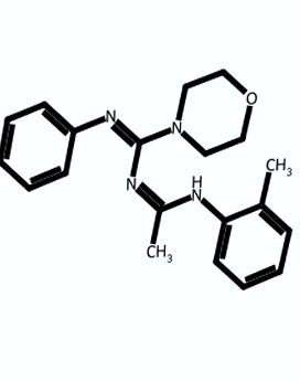 CC(=NC(=Nc1ccccc1)N1CCOCC1)Nc1ccccc1C